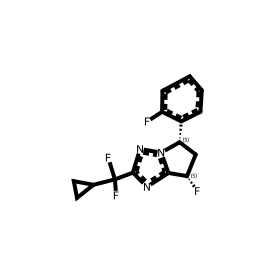 Fc1ccccc1[C@@H]1C[C@H](F)c2nc(C(F)(F)C3CC3)nn21